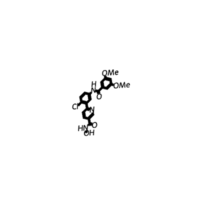 COc1cc(OC)cc(C(=O)Nc2ccc(Cl)c(-c3ccc(C(=O)NO)cn3)c2)c1